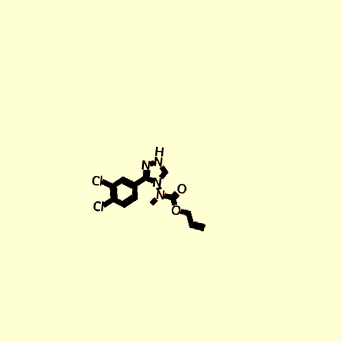 C=CCOC(=O)N(C)N1CNN=C1c1ccc(Cl)c(Cl)c1